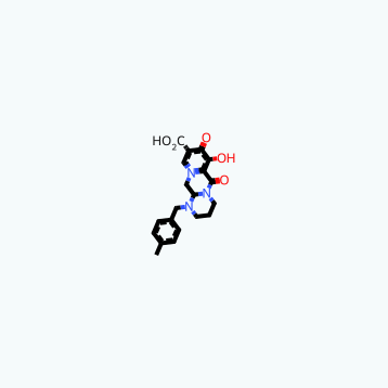 Cc1ccc(CN2CCCN3C(=O)c4c(O)c(=O)c(C(=O)O)cn4CC23)cc1